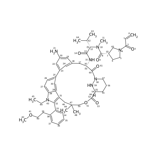 C=CC(=O)N1CC[C@H](C(=O)N(C)[C@H](C(=O)N[C@H]2Cc3cc(N)cc(c3)-c3ccc4c(c3)c(c(-c3ccccc3CCOC)n4CC)CC(C)(C)COC(=O)[C@@H]3CCCN(N3)C2=O)C(C)C)C1